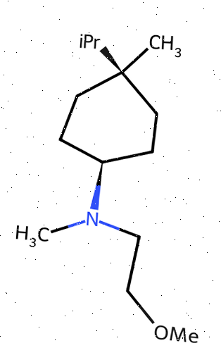 COCCN(C)[C@H]1CC[C@@](C)(C(C)C)CC1